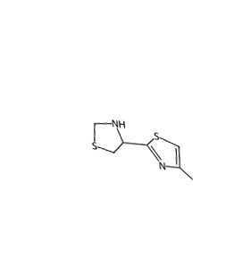 Cc1csc(C2CSCN2)n1